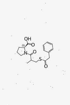 CC(CSC(=O)Cc1ccccc1)C(=O)N1CCC[C@H]1C(=O)O